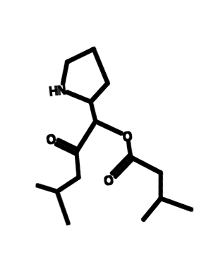 CC(C)CC(=O)OC(C(=O)CC(C)C)C1CCCN1